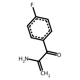 C=C(N)C(=O)c1ccc(F)cc1